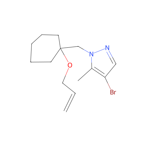 C=CCOC1(Cn2ncc(Br)c2C)CCCCC1